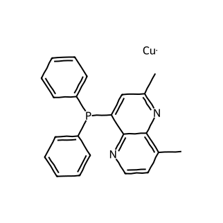 Cc1cc(P(c2ccccc2)c2ccccc2)c2nccc(C)c2n1.[Cu]